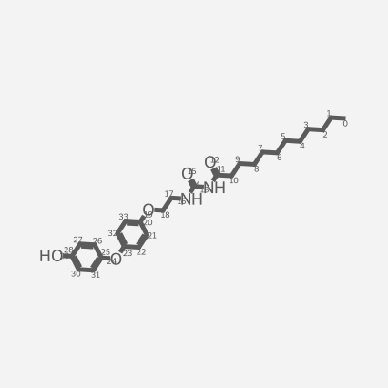 CCCCCCCCCCCC(=O)NC(=O)NCCOc1ccc(Oc2ccc(O)cc2)cc1